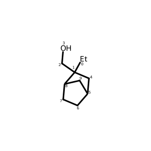 CCC1(CO)CC2CCC1C2